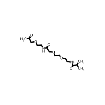 CC(=O)COCCNC(=O)COCCOCCNC(=O)C(C)C